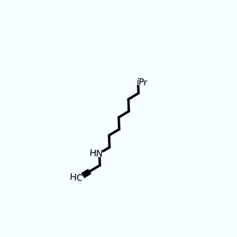 C#CCNCCCCCCCC(C)C